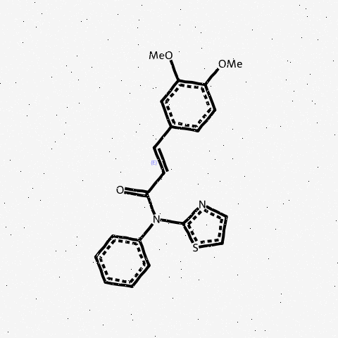 COc1ccc(/C=C/C(=O)N(c2ccccc2)c2nccs2)cc1OC